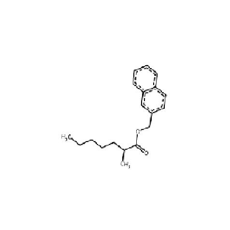 CCCCCC(C)C(=O)OCc1ccc2ccccc2c1